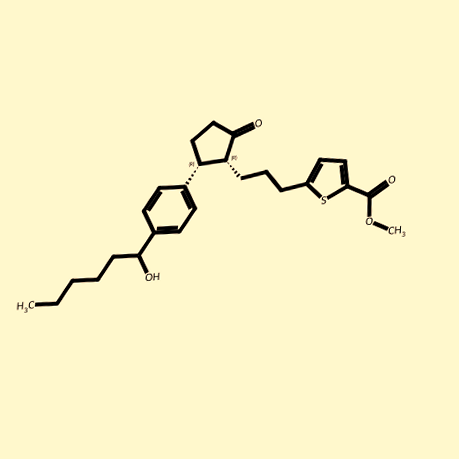 CCCCCC(O)c1ccc([C@@H]2CCC(=O)[C@@H]2CCCc2ccc(C(=O)OC)s2)cc1